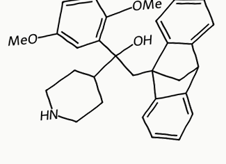 COc1ccc(OC)c(C(O)(CC23CC(c4ccccc42)c2ccccc23)C2CCNCC2)c1